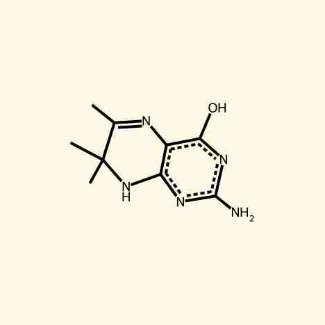 CC1=Nc2c(O)nc(N)nc2NC1(C)C